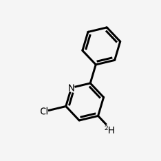 [2H]c1cc(Cl)nc(-c2ccccc2)c1